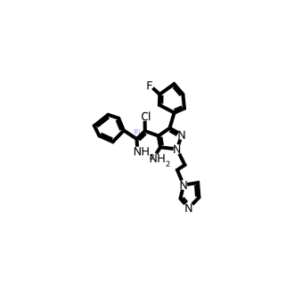 N/C(=C(/Cl)c1c(-c2cccc(F)c2)nn(CCn2ccnc2)c1N)c1ccccc1